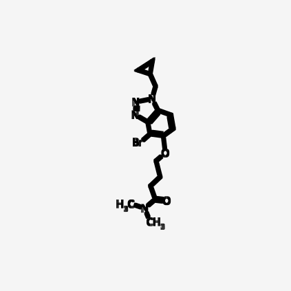 CN(C)C(=O)CCCOc1ccc2c(nnn2CC2CC2)c1Br